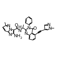 Cc1ccc2nc(N)c(C(=O)NC(C)c3nc4cccc(C#Cc5cnn(C)c5)c4c(=O)n3-c3ccccc3)n2n1